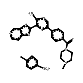 CN1CCN(C(=O)c2ccc(-c3cnc(N)c(-c4nc5cnccc5o4)n3)cc2)CC1.Cc1ccc(S(=O)(=O)O)cc1